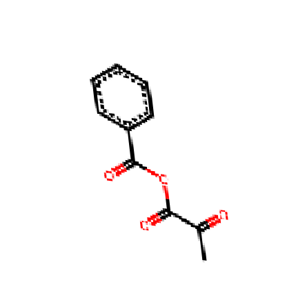 CC(=O)C(=O)OC(=O)c1ccccc1